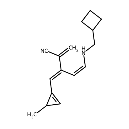 C=C(C#N)C(/C=C\NCC1CCC1)=C/C1=CC1C